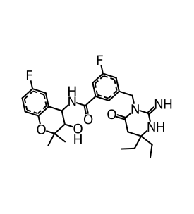 CCC1(CC)CC(=O)N(Cc2cc(F)cc(C(=O)NC3c4cc(F)ccc4OC(C)(C)C3O)c2)C(=N)N1